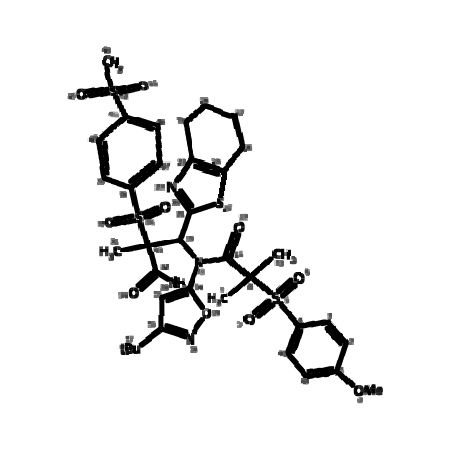 COc1ccc(S(=O)(=O)C(C)(C)C(=O)N(c2cc(C(C)(C)C)no2)C(c2nc3c(s2)CCCC3)C(C)(C(N)=O)S(=O)(=O)c2ccc(S(C)(=O)=O)cc2)cc1